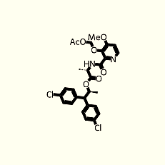 COc1ccnc(C(=O)N[C@@H](C)C(=O)O[C@@H](C)C(c2ccc(Cl)cc2)c2ccc(Cl)cc2)c1OCOC(C)=O